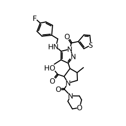 Cc1c(C2C(C)CN(C(=O)N3CCOCC3)C2C(=O)O)nn(C(=O)c2ccsc2)c1NCc1ccc(F)cc1